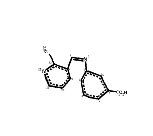 O=C(O)c1cccc(/N=C\c2cccnc2Br)c1